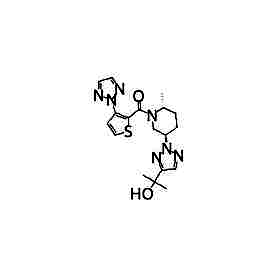 C[C@@H]1CC[C@@H](n2ncc(C(C)(C)O)n2)CN1C(=O)c1sccc1-n1nccn1